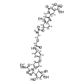 CCNC(=O)c1nnc(-c2cc(C(C)C)c(O)cc2O)n1-c1ccc(Oc2ccc(NC(=O)COCCN(C)C(=O)Oc3ccc4nc5c(c(CC)c4c3)Cn3c-5cc4c(c3=O)COC(=O)C4O)cc2)cc1